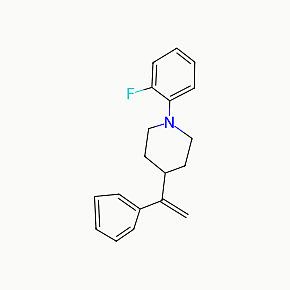 C=C(c1ccccc1)C1CCN(c2ccccc2F)CC1